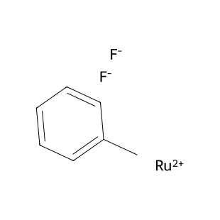 Cc1ccccc1.[F-].[F-].[Ru+2]